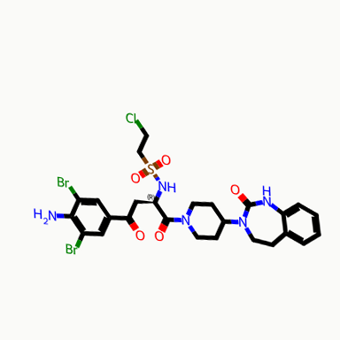 Nc1c(Br)cc(C(=O)C[C@@H](NS(=O)(=O)CCCl)C(=O)N2CCC(N3CCc4ccccc4NC3=O)CC2)cc1Br